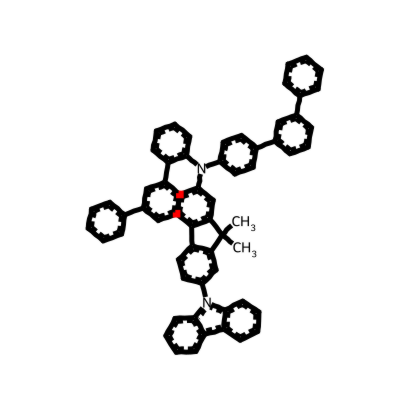 CC1(C)c2cc(N(c3ccc(-c4cccc(-c5ccccc5)c4)cc3)c3ccccc3-c3cccc(-c4ccccc4)c3)ccc2-c2ccc(-n3c4ccccc4c4ccccc43)cc21